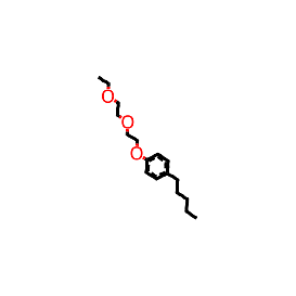 CCCCCc1ccc(OCCOCCOCC)cc1